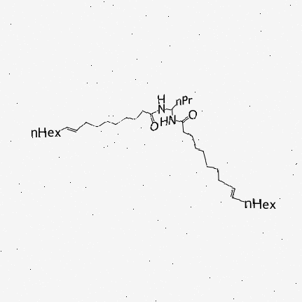 CCCCCCC=CCCCCCCCC(=O)NC(CCC)NC(=O)CCCCCCCC=CCCCCCC